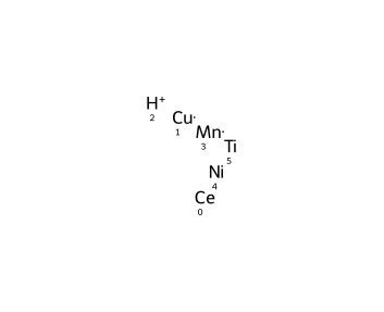 [Ce].[Cu].[H+].[Mn].[Ni].[Ti]